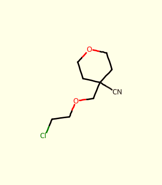 N#CC1(COCCCl)CCOCC1